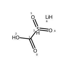 O=C(O)[SH](=O)=O.[LiH]